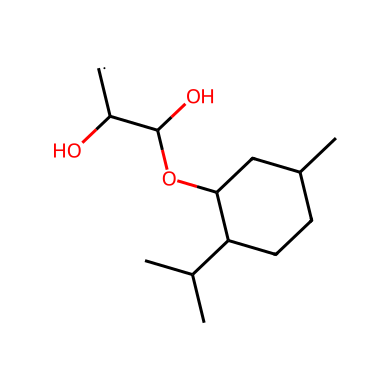 [CH2]C(O)C(O)OC1CC(C)CCC1C(C)C